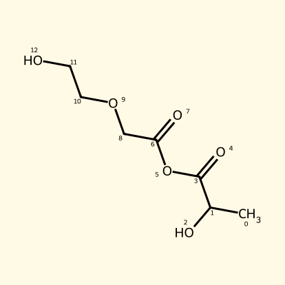 CC(O)C(=O)OC(=O)COCCO